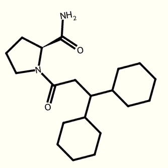 NC(=O)[C@@H]1CCCN1C(=O)CC(C1CCCCC1)C1CCCCC1